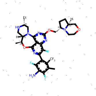 CC[C@@H]1CN2c3nc(OC[C@@H]4CC[C@H]5COCCN54)nc4c(F)c(-c5c(F)c(N)c(F)c(C)c5C(F)(F)F)nc(c34)O[C@@H](C)[C@@H]2CN1